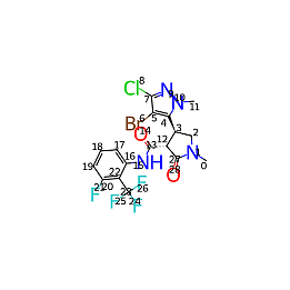 CN1C[C@H](c2c(Br)c(Cl)nn2C)[C@@H](C(=O)Nc2cccc(F)c2C(F)(F)F)C1=O